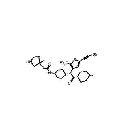 CC(C)(C)C#Cc1cc(N(C(=O)[C@H]2CC[C@H](C)CC2)[C@H]2CC[C@H](NC(=O)OC3(C)CCNC3)CC2)c(C(=O)O)s1